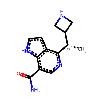 C[C@H](c1ncc(C(N)=O)c2[nH]ccc12)C1CNC1